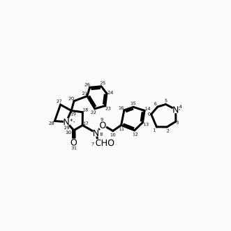 C1CCC[N]CC1.O=CN(OCc1ccccc1)C1CC2(Cc3ccccc3)CC[N+]2C1=O